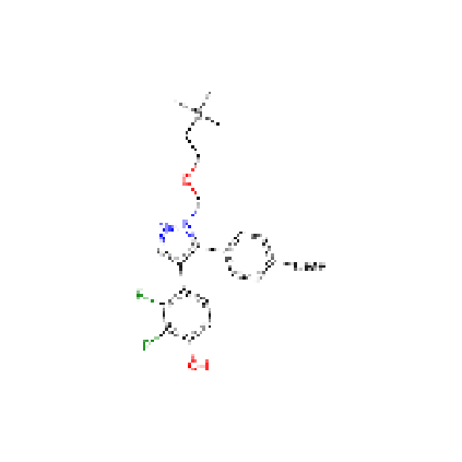 COc1ccc(-c2c(-c3ccc(O)c(F)c3F)cnn2COCC[Si](C)(C)C)cc1